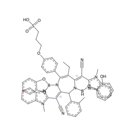 CCC1=C(c2ccc(OCCCS(=O)(=O)O)cc2)N(B2Oc3ccccc3O2)/C(=C(/C#N)c2nc3ccccc3n2C)C(c2ccccc2C)N(BOc2ccccc2O)/C1=C(/C#N)c1nc2ccccc2n1C